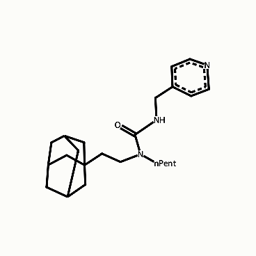 CCCCCN(CCC12CC3CC(CC(C3)C1)C2)C(=O)NCc1ccncc1